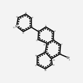 Brc1cc2ccc(-c3cccnc3)cc2c2ccccc12